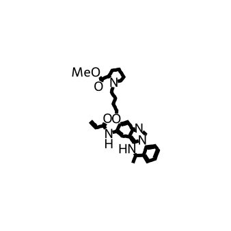 C=CC(=O)Nc1cc2c(NC(C)c3ccccc3)ncnc2cc1OCCCCN1CCCCC1C(=O)OC